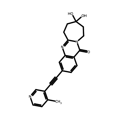 Cc1ccncc1C#Cc1ccc2c(=O)n3c(nc2c1)CCC(O)(O)CC3